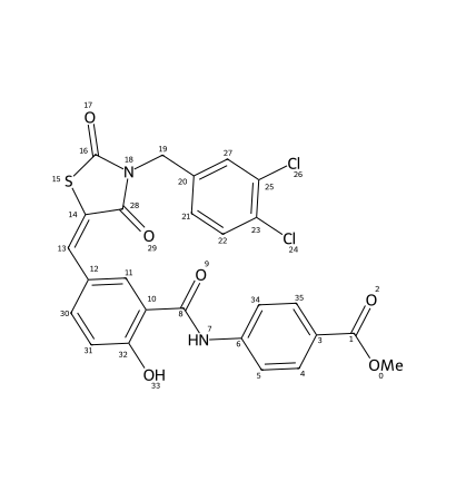 COC(=O)c1ccc(NC(=O)c2cc(C=C3SC(=O)N(Cc4ccc(Cl)c(Cl)c4)C3=O)ccc2O)cc1